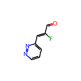 O=CC(F)=Cc1cccnn1